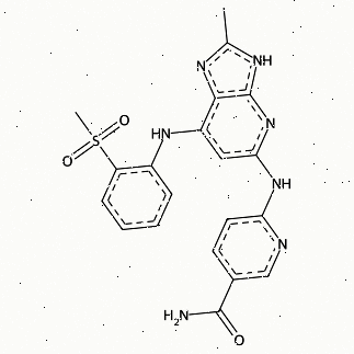 Cc1nc2c(Nc3ccccc3S(C)(=O)=O)cc(Nc3ccc(C(N)=O)cn3)nc2[nH]1